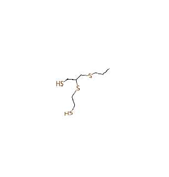 CCCSCC(CS)SCCS